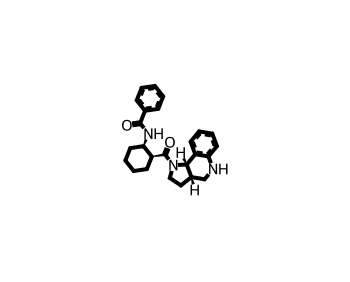 O=C(N[C@@H]1CCCC[C@@H]1C(=O)N1CC[C@H]2CNc3ccccc3[C@H]21)c1ccccc1